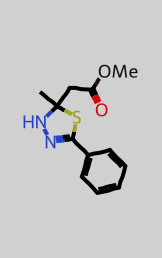 COC(=O)CC1(C)NN=C(c2ccccc2)S1